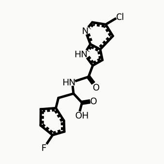 O=C(NC(Cc1ccc(F)cc1)C(=O)O)c1cc2cc(Cl)cnc2[nH]1